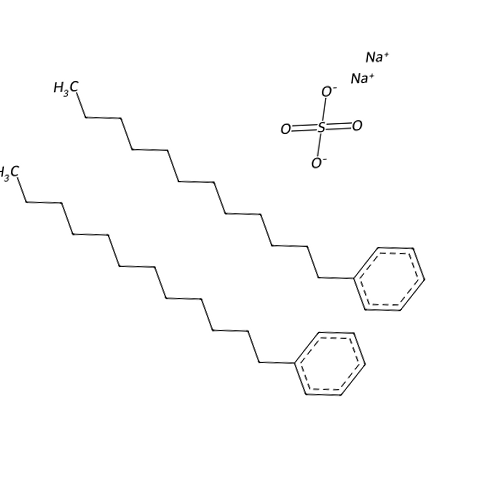 CCCCCCCCCCCCc1ccccc1.CCCCCCCCCCCCc1ccccc1.O=S(=O)([O-])[O-].[Na+].[Na+]